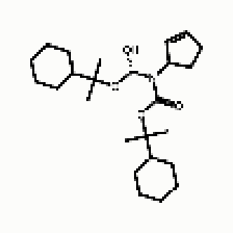 CC(C)(OC(=O)N(C1C=CCC1)[C@@H](O)OC(C)(C)C1CCCCC1)C1CCCCC1